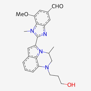 COc1cc(C=O)cc2nc(-c3cc4cccc5c4n3C(C)CN5CCCO)n(C)c12